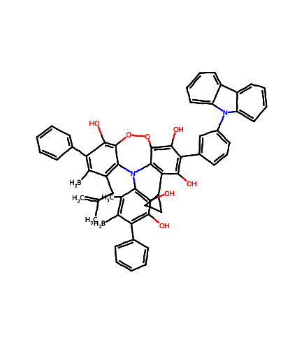 Bc1c(C)c(-n2c3c(CC(=C)C)c(B)c(-c4ccccc4)c(O)c3ooc3c(O)c(-c4cccc(-n5c6ccccc6c6ccccc65)c4)c(O)c(C4CC4)c32)c(O)c(O)c1-c1ccccc1